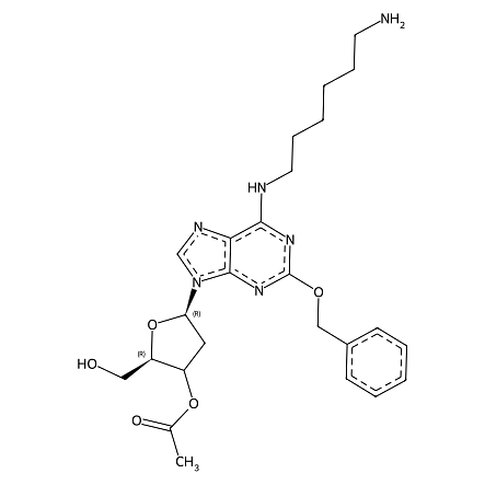 CC(=O)OC1C[C@H](n2cnc3c(NCCCCCCN)nc(OCc4ccccc4)nc32)O[C@@H]1CO